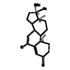 CC(=O)O[C@@]1(C(C)=O)CCC2C3C=C(Cl)C4=CC(=O)CC[C@]4(C)C3CC[C@@]21C